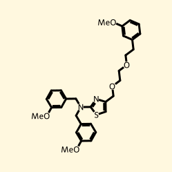 COc1cccc(CCOCCOCc2csc(N(Cc3cccc(OC)c3)Cc3cccc(OC)c3)n2)c1